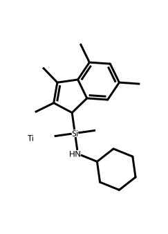 CC1=C(C)C([Si](C)(C)NC2CCCCC2)c2cc(C)cc(C)c21.[Ti]